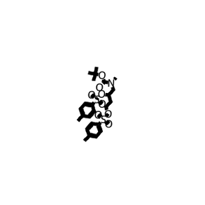 Cc1ccc(S(=O)(=O)OCCC(CN(C)C(=O)OC(C)(C)C)OS(=O)(=O)c2ccc(C)cc2)cc1